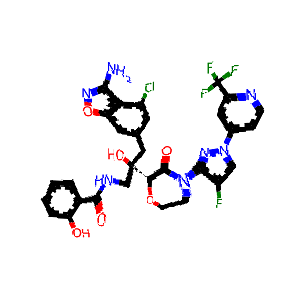 Nc1noc2cc(CC(O)(CNC(=O)c3ccccc3O)[C@H]3OCCN(c4nn(-c5ccnc(C(F)(F)F)c5)cc4F)C3=O)cc(Cl)c12